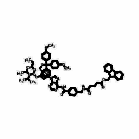 CCCOP(OC1C[C@H](n2cnc3c(NC(=O)c4ccc(CNC(=O)CCCC(=O)OCC5c6ccccc6-c6ccccc65)cc4)ncnc32)O[C@@H]1COC(c1ccccc1)(c1ccc(OC)cc1)c1ccc(OC)cc1)N(C(C)C)C(C)C